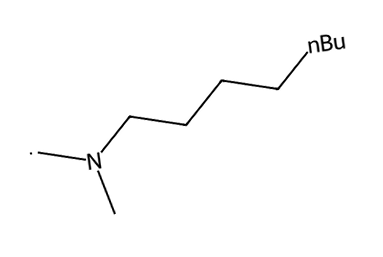 [CH2]N(C)CCCCCCCC